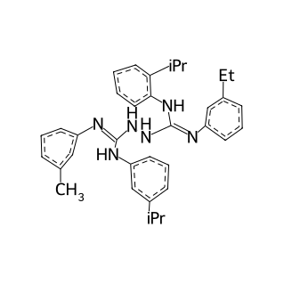 CCc1cccc(N=C(NNC(=Nc2cccc(C)c2)Nc2cccc(C(C)C)c2)Nc2ccccc2C(C)C)c1